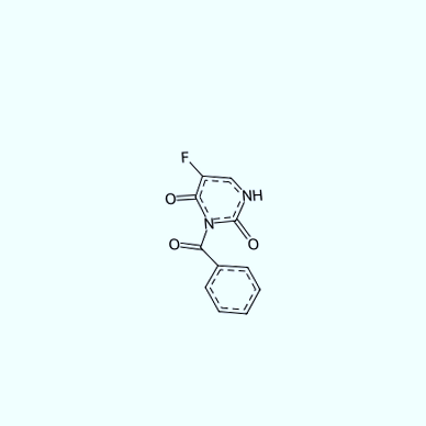 O=C(c1ccccc1)n1c(=O)[nH]cc(F)c1=O